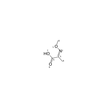 CO/N=C(/C)C(=O)O